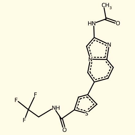 CC(=O)Nc1cn2cc(-c3csc(C(=O)NCC(F)(F)F)c3)ccc2n1